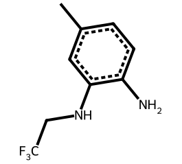 Cc1ccc(N)c(NCC(F)(F)F)c1